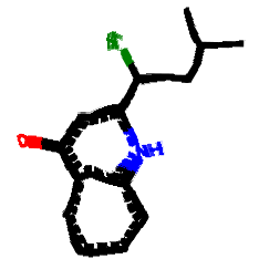 CC(C)CC(Br)c1cc(=O)c2ccccc2[nH]1